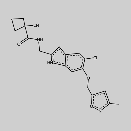 Cc1cc(COc2cc3[nH]c(CNC(=O)C4(C#N)CCC4)cc3cc2Cl)on1